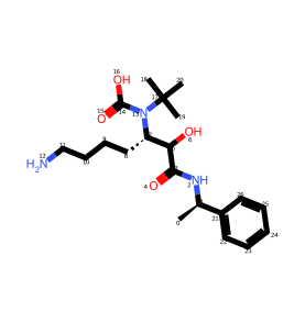 C[C@@H](NC(=O)C(O)[C@H](CCCCN)N(C(=O)O)C(C)(C)C)c1ccccc1